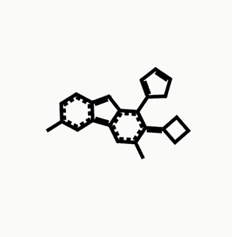 Cc1ccc2c(c1)=c1cc(C)c(=C3CCC3)c(C3=CC=CC3)c1[C]=2